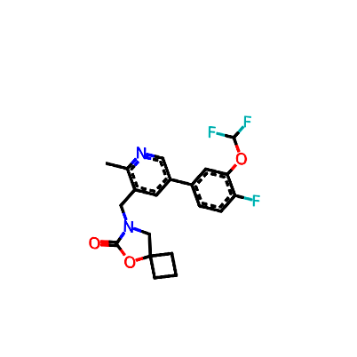 Cc1ncc(-c2ccc(F)c(OC(F)F)c2)cc1CN1CC2(CCC2)OC1=O